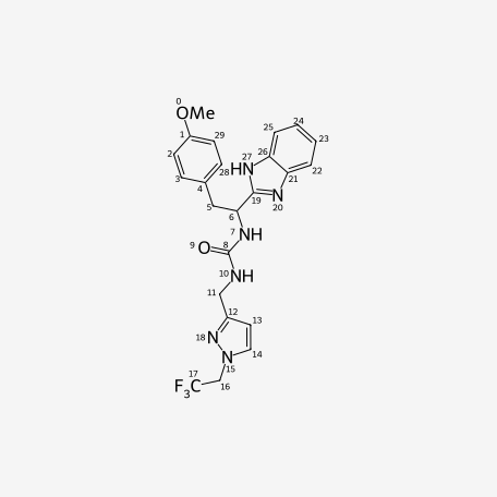 COc1ccc(CC(NC(=O)NCc2ccn(CC(F)(F)F)n2)c2nc3ccccc3[nH]2)cc1